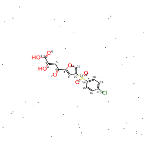 O=C(O)C(O)=CC(=O)c1cc(S(=O)(=O)c2ccc(Cl)cc2)co1